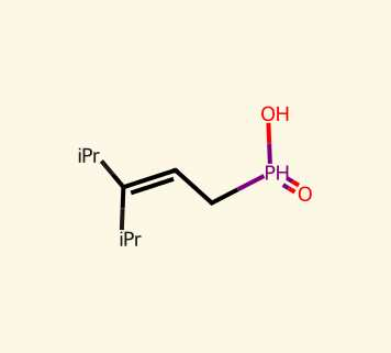 CC(C)C(=CC[PH](=O)O)C(C)C